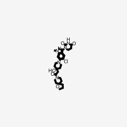 Cn1nc(N2CCC(=O)NC2=O)c2cc(Cl)c(N3CCC(O)(CC(=O)N4CCC5(CCCO5)CC4)CC3)cc21